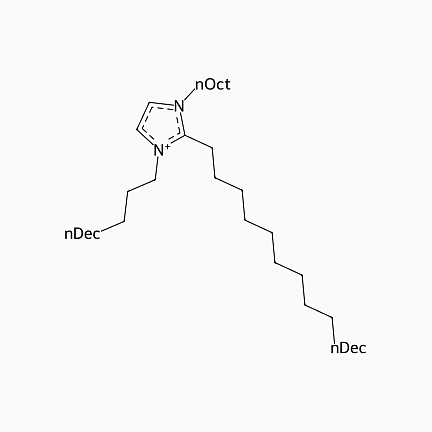 CCCCCCCCCCCCCCCCCCCc1n(CCCCCCCC)cc[n+]1CCCCCCCCCCCCC